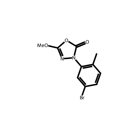 COc1nn(-c2cc(Br)ccc2C)c(=O)o1